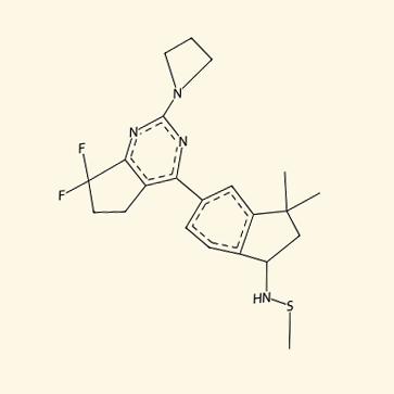 CSNC1CC(C)(C)c2cc(-c3nc(N4CCC4)nc4c3CCC4(F)F)ccc21